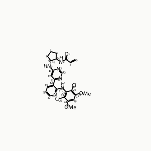 C=CC(=O)NC1CCC[C@H]1Nc1cc(-c2cccnc2Nc2c(Cl)c(OC)cc(OC)c2Cl)ncn1